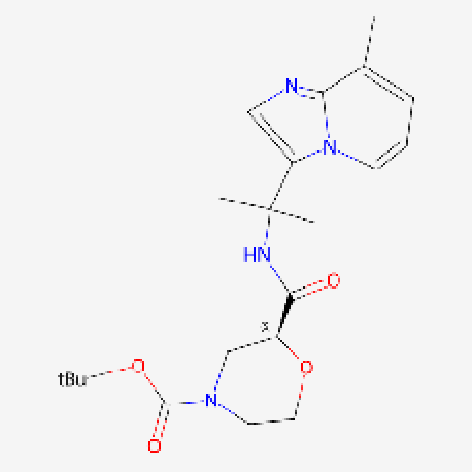 Cc1cccn2c(C(C)(C)NC(=O)[C@@H]3CN(C(=O)OC(C)(C)C)CCO3)cnc12